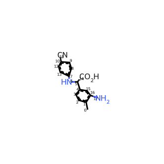 Cc1ccc(C(Nc2ccc(C#N)cc2)C(=O)O)cc1N